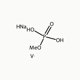 COP(=O)(O)O.[NaH].[V]